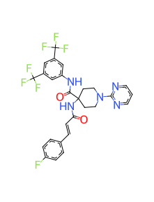 O=C(C=Cc1ccc(F)cc1)NC1(C(=O)Nc2cc(C(F)(F)F)cc(C(F)(F)F)c2)CCN(c2ncccn2)CC1